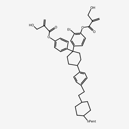 C=C(CO)C(=O)Oc1ccc(C2(c3ccc(OC(=O)C(=C)CO)c(CC)c3)CCC(c3ccc(CCC4CCC(CCCCC)CC4)cc3)CC2)cc1